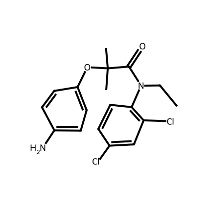 CCN(C(=O)C(C)(C)Oc1ccc(N)cc1)c1ccc(Cl)cc1Cl